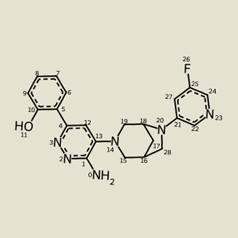 Nc1nnc(-c2ccccc2O)cc1N1CC2CC(C1)N(c1cncc(F)c1)C2